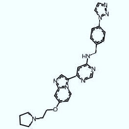 c1cn(-c2ccc(CNc3cc(-c4cnc5cc(OCCN6CCCC6)ccn45)ncn3)cc2)nn1